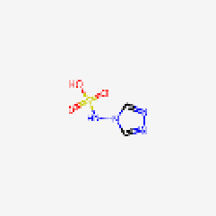 O=S(=O)(O)Nn1cnnc1